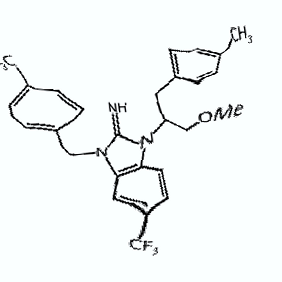 COCC(Cc1ccc(C)cc1)n1c(=N)n(Cc2ccc(C)cc2)c2cc(C(F)(F)F)ccc21